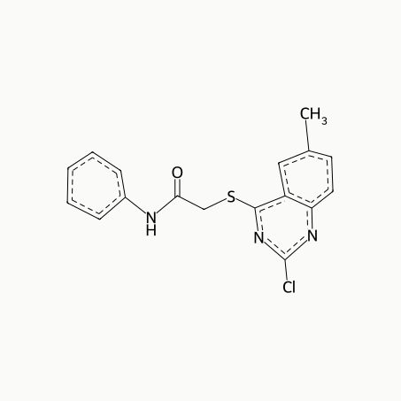 Cc1ccc2nc(Cl)nc(SCC(=O)Nc3ccccc3)c2c1